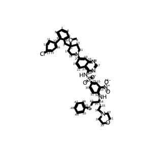 COC1(Cc2ccccc2-c2ccc(Cl)cc2)CCN(c2ccc3c(NS(=O)(=O)c4ccc(N[C@H](CCN5CCOCC5)CSc5ccccc5)c([N+](=O)[O-])c4)ncnc3c2)CC1